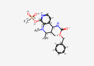 CCCC1C(C)C(NC(=O)OCc2ccccc2)c2ccnc(OS(=O)(=O)C(F)(F)F)c2N1C(C)=O